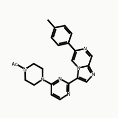 CC(=O)N1CCN(c2ccnc(-c3cnc4cnc(-c5ccc(C)cc5)cn34)n2)CC1